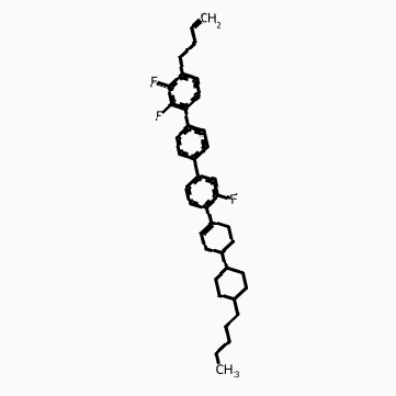 C=CCCc1ccc(-c2ccc(-c3ccc(C4=CCC(C5CCC(CCCCC)CC5)CC4)c(F)c3)cc2)c(F)c1F